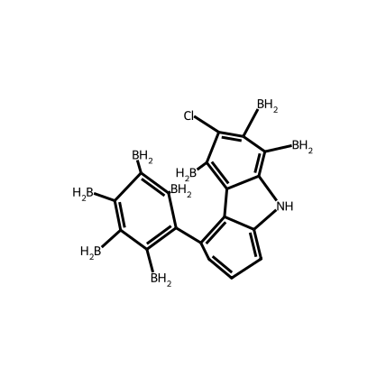 Bc1c(B)c(B)c(-c2cccc3[nH]c4c(B)c(B)c(Cl)c(B)c4c23)c(B)c1B